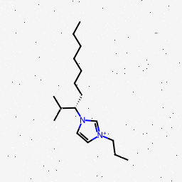 CCCCCCC[C@@H](C(C)C)n1cc[n+](CCC)c1